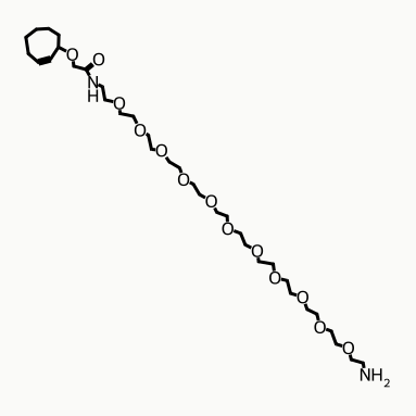 NCCOCCOCCOCCOCCOCCOCCOCCOCCOCCOCCOCCNC(=O)COC1C#CCCCCC1